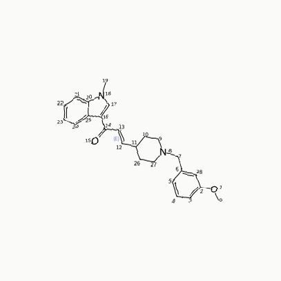 COc1cccc(CN2CCC(/C=C/C(=O)c3cn(C)c4ccccc34)CC2)c1